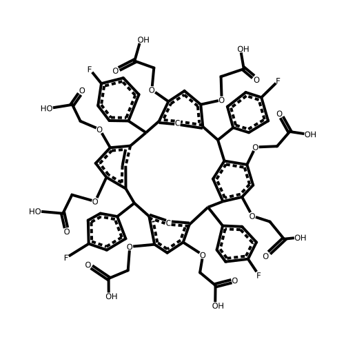 O=C(O)COc1cc(OCC(=O)O)c2cc1C(c1ccc(F)cc1)c1cc(c(OCC(=O)O)cc1OCC(=O)O)C(c1ccc(F)cc1)c1cc(c(OCC(=O)O)cc1OCC(=O)O)C(c1ccc(F)cc1)c1cc(c(OCC(=O)O)cc1OCC(=O)O)C2c1ccc(F)cc1